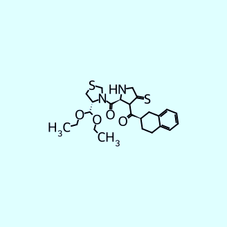 CCOC(OCC)[C@@H]1CSCN1C(=O)[C@H]1NCC(=S)C1C(=O)[C@@H]1CCc2ccccc2C1